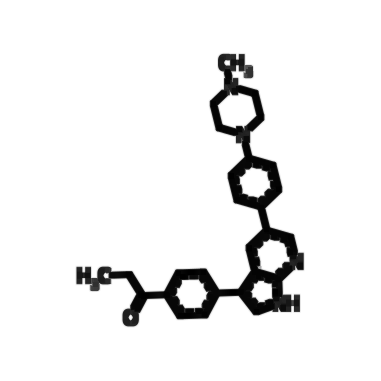 CCC(=O)c1ccc(-c2c[nH]c3ncc(-c4ccc(N5CCN(C)CC5)cc4)cc23)cc1